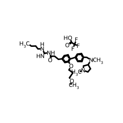 CCCCNC(=N)NC(=O)CCc1ccc(-c2ccc(CN(C)C3CCN(C)C3)cc2)c(OCCCOC)c1.O=C(O)C(F)(F)F